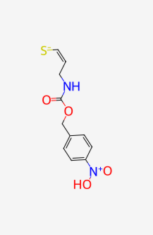 O=C(NC/C=C\[S-])OCc1ccc([N+](=O)O)cc1